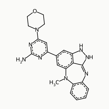 CN1c2ccccc2N=C2NNc3cc(-c4cc(N5CCOCC5)nc(N)n4)cc1c32